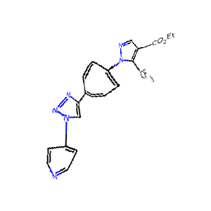 CCOC(=O)c1cnn(-c2ccc(-c3cn(-c4ccncc4)nn3)cc2)c1C(F)(F)F